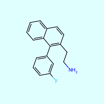 NCCc1ccc2ccccc2c1-c1cccc(F)c1